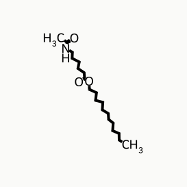 CCCCCCCCCCCCOC(=O)CCCCCNC(C)=O